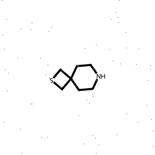 C1CC2(CCN1)CSC2